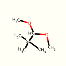 CO[SiH](OC)[Si](C)(C)C